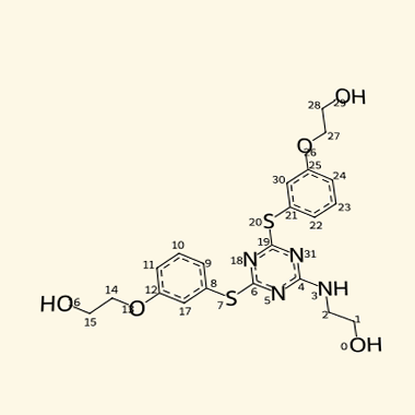 OCCNc1nc(Sc2cccc(OCCO)c2)nc(Sc2cccc(OCCO)c2)n1